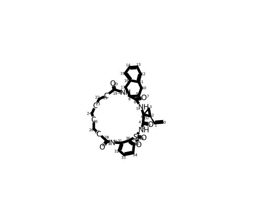 C=C[C@@H]1C[C@@]12NC(=O)C1(CCc3ccccc3C1)NC(=O)CCCCCCCC(=O)Nc1ccccc1S(=O)(=O)NC2=O